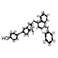 C[n+]1c(C=C2C=CN(Cc3ccccc3)c3ccccc32)sc2cc(-c3ccc(O)cc3)ccc21